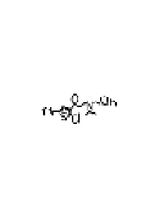 CC(C)N(CCO)CCC(=O)c1cc(Cl)sc1Cl